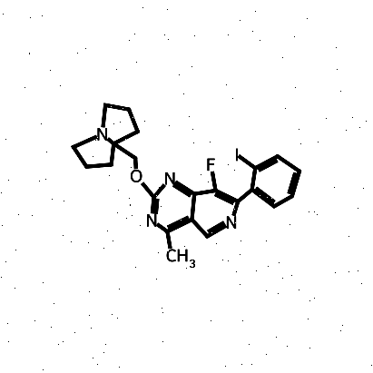 Cc1nc(OCC23CCCN2CCC3)nc2c(F)c(-c3ccccc3I)ncc12